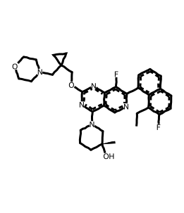 CCc1c(F)ccc2cccc(-c3ncc4c(N5CCC[C@@](C)(O)C5)nc(OCC5(CN6CCOCC6)CC5)nc4c3F)c12